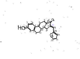 CC12CCC3c4ccc(O)cc4CCC3C1C/C(=C\c1ccco1)C2=O